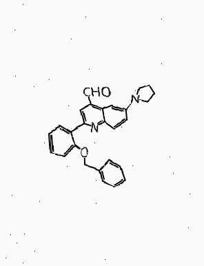 O=Cc1cc(-c2ccccc2OCc2ccccc2)nc2ccc(N3CCCC3)cc12